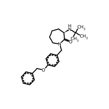 CC(C)(C)N[C@@H]1CCCCN(Cc2ccc(OCc3ccccc3)cc2)C1=O